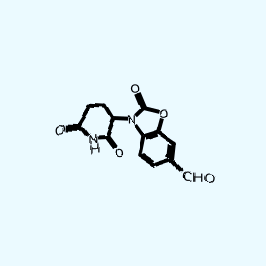 O=Cc1ccc2c(c1)oc(=O)n2C1CCC(=O)NC1=O